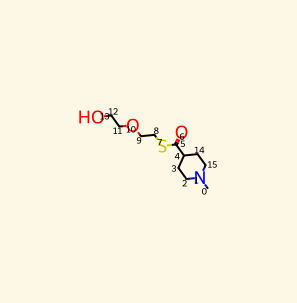 CN1CCC(C(=O)SCCOCCO)CC1